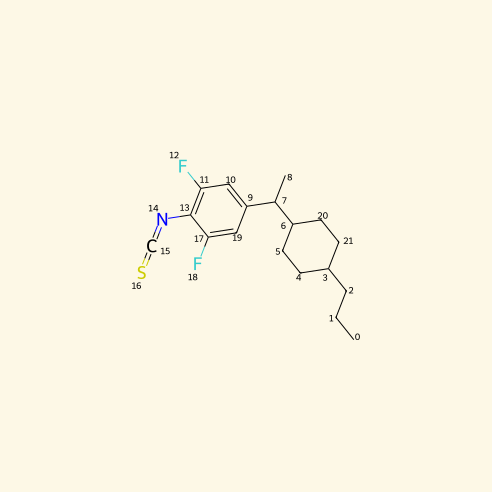 CCCC1CCC(C(C)c2cc(F)c(N=C=S)c(F)c2)CC1